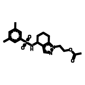 CC(=O)OCCn1ncc2c1CCCC2NS(=O)(=O)c1cc(C)cc(C)c1